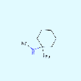 CCCCC1(NC#N)CCCCC1